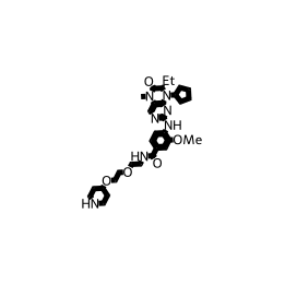 CC[C@@H]1C(=O)N(C)c2cnc(Nc3ccc(C(=O)NCCOCCOC4CCNCC4)cc3OC)nc2N1C1CCCC1